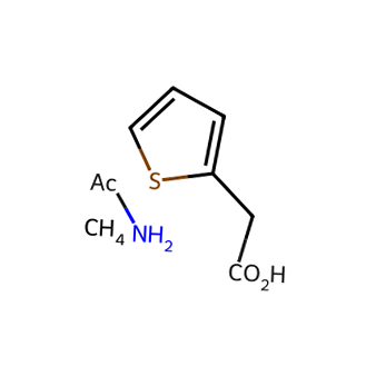 C.CC(N)=O.O=C(O)Cc1cccs1